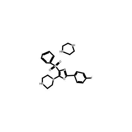 C1CNCCN1.O=S(=O)(c1ccccc1)c1nc(-c2ccc(F)cc2)oc1N1CCNCC1